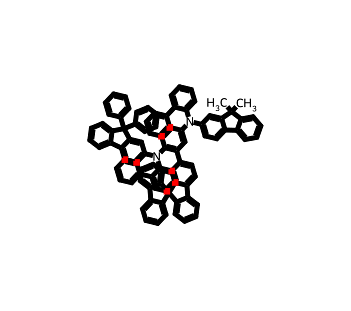 CC1(C)c2ccccc2-c2ccc(N(c3ccc(N(c4ccc5c(c4)C(c4ccccc4)(c4ccccc4)c4ccccc4-5)c4ccccc4-c4ccccc4)c(-c4ccc5c(c4)C4(c6ccccc6-c6ccccc64)c4ccccc4-5)c3)c3ccccc3-c3ccccc3)cc21